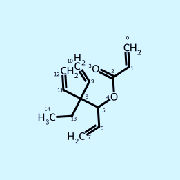 C=CC(=O)OC(C=C)C(C=C)(C=C)CC